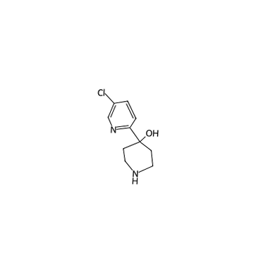 OC1(c2ccc(Cl)cn2)CCNCC1